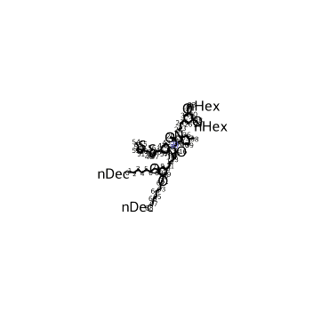 CCCCCCCCCCCCCCCCOc1cc(CCCN2C(=O)/C(=C3/C(=O)N(CCCc4cc(OCCCCCC)cc(OCCCCCC)c4)c4cc(C)ccc43)c3ccc(-c4ccc(-c5ccc(C)s5)s4)cc32)cc(OCCCCCCCCCCCCCCCC)c1